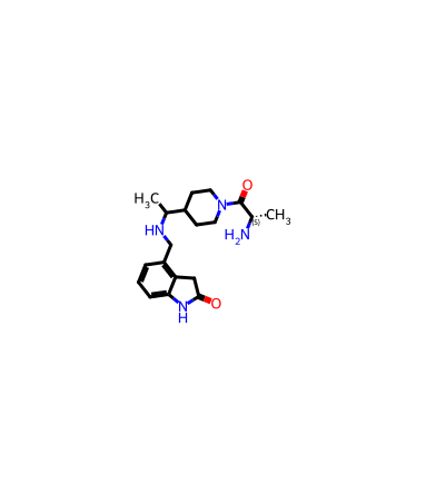 CC(NCc1cccc2c1CC(=O)N2)C1CCN(C(=O)[C@H](C)N)CC1